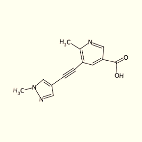 Cc1ncc(C(=O)O)cc1C#Cc1cnn(C)c1